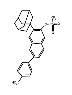 O=C(O)c1ccc(-c2ccc3cc(OS(=O)(=O)C(F)(F)F)c(C45CC6CC(CC(C6)C4)C5)cc3c2)cc1